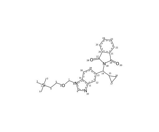 C[Si](C)(C)CCOCn1cnc2cc(C(C3CC3)N3C(=O)c4ccccc4C3=O)ccc21